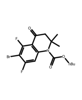 CCCCOC(=O)N1c2cc(F)c(Br)c(F)c2C(=O)CC1(C)C